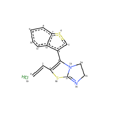 C=CC1=C(c2csc3ccccc23)N2CCN=C2S1.Cl